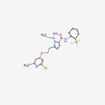 CC[C@H](C)n1c(CCOc2cc(C)nc(Cl)c2)ccc1C(=O)Nc1ccccc1C(F)(F)F